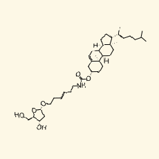 CC(C)CCCC(C)[C@H]1CC[C@@H]2C3CC=C4C[C@@H](OC(=O)NCCCCCCO[C@@H]5C[C@H](O)[C@@H](CO)O5)CC[C@]4(C)[C@@H]3CC[C@]12C